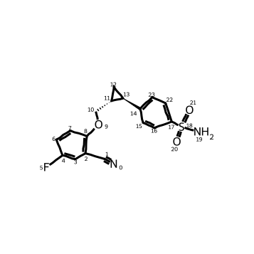 N#Cc1cc(F)ccc1OC[C@@H]1C[C@H]1c1ccc(S(N)(=O)=O)cc1